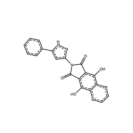 O=C1c2c(c(O)c3nccnc3c2O)C(=O)N1c1cc(-c2ccccc2)[nH]n1